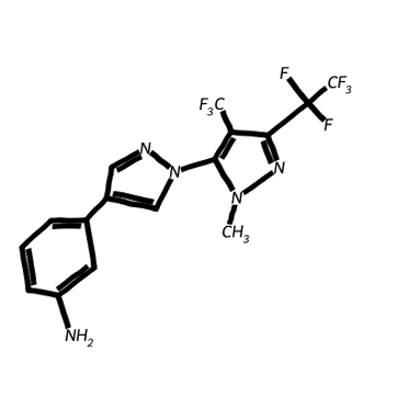 Cn1nc(C(F)(F)C(F)(F)F)c(C(F)(F)F)c1-n1cc(-c2cccc(N)c2)cn1